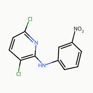 O=[N+]([O-])c1cccc(Nc2nc(Cl)ccc2Cl)c1